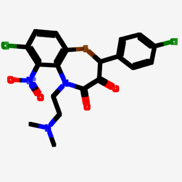 CN(C)CCN1C(=O)C(=O)C(c2ccc(Cl)cc2)Sc2ccc(Cl)c([N+](=O)[O-])c21